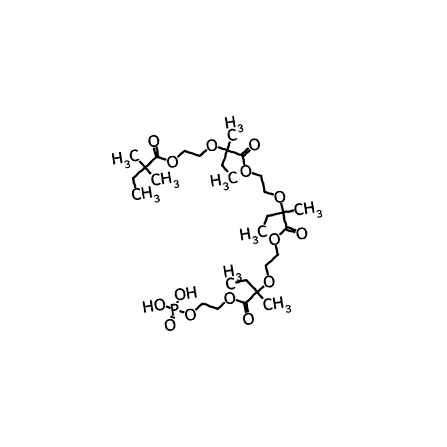 CCC(C)(C)C(=O)OCCOC(C)(CC)C(=O)OCCOC(C)(CC)C(=O)OCCOC(C)(CC)C(=O)OCCOP(=O)(O)O